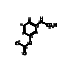 O=C(O)Nc1cc(OC(=O)Cl)ccn1